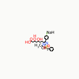 CC(C)n1c(S(=O)(=O)Cc2ccccc2)nc(-c2ccc(F)cc2)c1CC[C@@H](O)C[C@@H](O)CC(=O)O.[NaH]